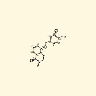 CN1CCc2c(OCc3ccc(F)c(Cl)c3)cccc2C1=O